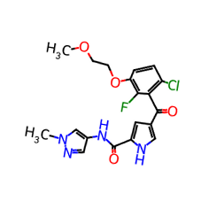 COCCOc1ccc(Cl)c(C(=O)c2c[nH]c(C(=O)Nc3cnn(C)c3)c2)c1F